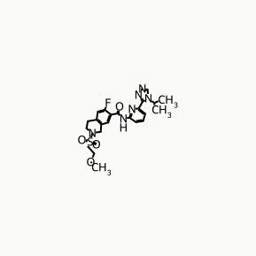 COCCS(=O)(=O)N1CCc2cc(F)c(C(=O)Nc3cccc(-c4nncn4C(C)C)n3)cc2C1